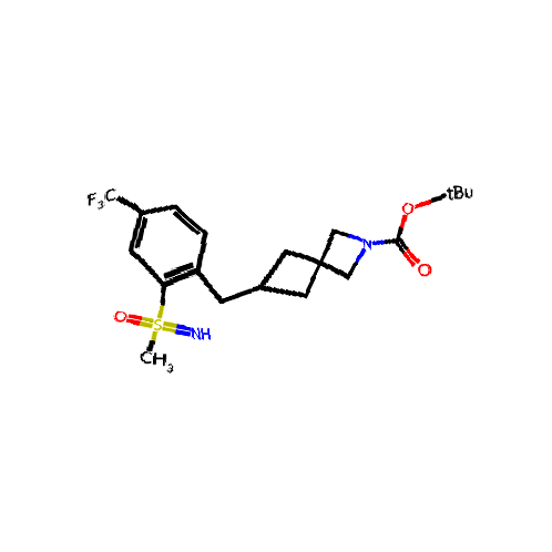 CC(C)(C)OC(=O)N1CC2(CC(Cc3ccc(C(F)(F)F)cc3S(C)(=N)=O)C2)C1